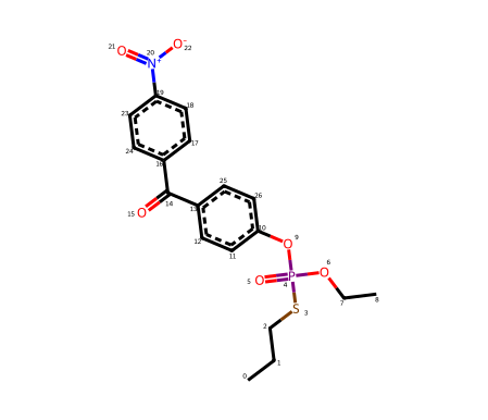 CCCSP(=O)(OCC)Oc1ccc(C(=O)c2ccc([N+](=O)[O-])cc2)cc1